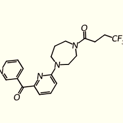 O=C(c1cccnc1)c1cccc(N2CCCN(C(=O)CCC(F)(F)F)CC2)n1